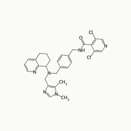 Cc1c(CN(Cc2ccc(CNC(=O)c3c(Cl)cncc3Cl)cc2)C2CCCc3cccnc32)ncn1C